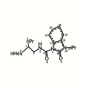 CCCCCCC(CCC)CNC(=O)n1c(=O)n(C(C)C)c2ccccc21